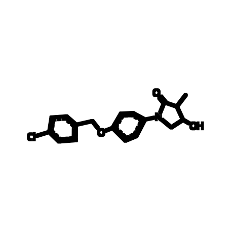 CC1C(=O)N(c2ccc(OCc3ccc(Cl)cc3)cc2)CC1O